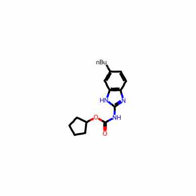 CCCCc1ccc2nc(NC(=O)OC3CCCC3)[nH]c2c1